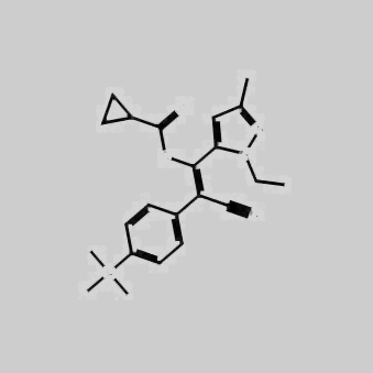 CCn1nc(C)cc1/C(OC(=O)C1CC1)=C(\C#N)c1ccc([Si](C)(C)C)cc1